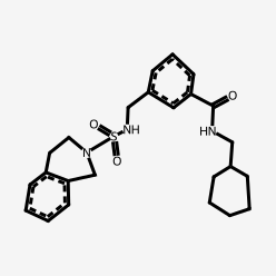 O=C(NCC1CCCCC1)c1cccc(CNS(=O)(=O)N2CCc3ccccc3C2)c1